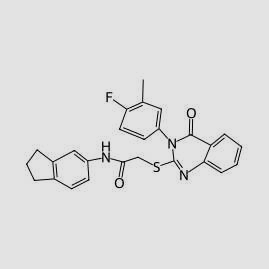 Cc1cc(-n2c(SCC(=O)Nc3ccc4c(c3)CCC4)nc3ccccc3c2=O)ccc1F